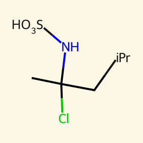 CC(C)CC(C)(Cl)NS(=O)(=O)O